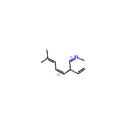 C=CC(/C=C\C=C(C)C)/C=N\C